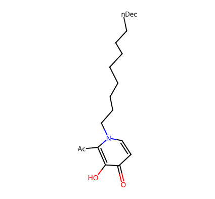 CCCCCCCCCCCCCCCCCCn1ccc(=O)c(O)c1C(C)=O